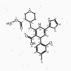 COC(=O)[C@@H]1COCCN1CC1=C(C(=O)O)C(c2ccc(F)cc2Cl)N=C(c2nccs2)N1